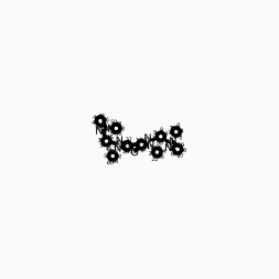 c1ccc(-n2c(-c3cccc(-c4nc5cc6c(cc5n4-c4ccccc4)oc4cc5c(cc46)nc(-c4cccc(-c6nc7ccccc7n6-c6ccccc6)c4)n5-c4ccccc4)c3)nc3ccccc32)cc1